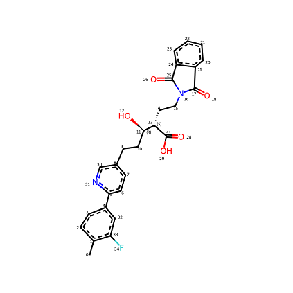 Cc1ccc(-c2ccc(CC[C@@H](O)[C@H](CCN3C(=O)c4ccccc4C3=O)C(=O)O)cn2)cc1F